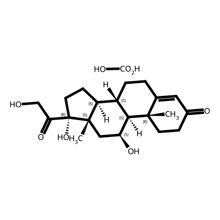 C[C@]12CCC(=O)C=C1CC[C@@H]1[C@@H]2[C@@H](O)C[C@@]2(C)[C@H]1CC[C@]2(O)C(=O)CO.O=C(O)O